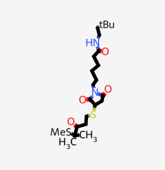 CSC(C)(C)C(=O)CCSC1CC(=O)N(CCCCCC(=O)NCCC(C)(C)C)C1=O